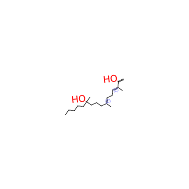 C=C(O)/C(C)=C/C/C=C(\C)CCCC(C)(O)CCCCC